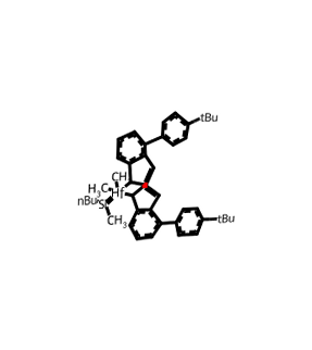 CCCC[Si](C)=[Hf]([CH3])([CH3])([CH]1C=Cc2c(-c3ccc(C(C)(C)C)cc3)cccc21)[CH]1C=Cc2c(-c3ccc(C(C)(C)C)cc3)cccc21